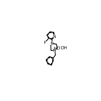 Cl.Cl.Fc1cccnc1N1CCN(Cc2ccccc2)CC1